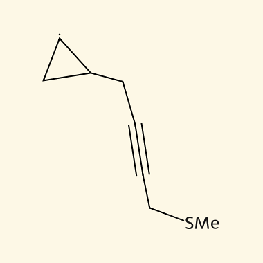 CSCC#CCC1[CH]C1